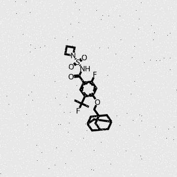 CC(C)(F)c1cc(C(=O)NS(=O)(=O)N2CCC2)c(F)cc1OCC12CC3CC(CC(C3)C1)C2